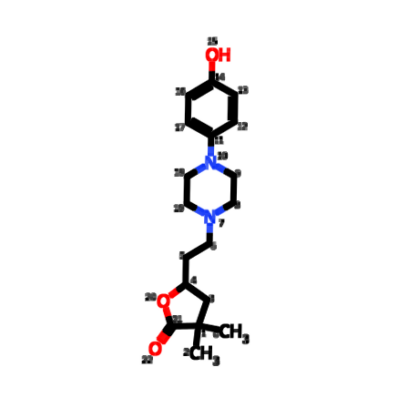 CC1(C)CC(CCN2CCN(c3ccc(O)cc3)CC2)OC1=O